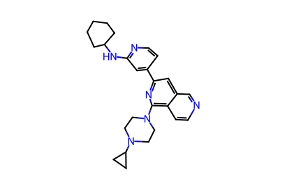 c1cc2c(N3CCN(C4CC4)CC3)nc(-c3ccnc(NC4CCCCC4)c3)cc2cn1